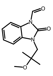 COC(C)(C)Cn1c(=O)n(C=O)c2ccccc21